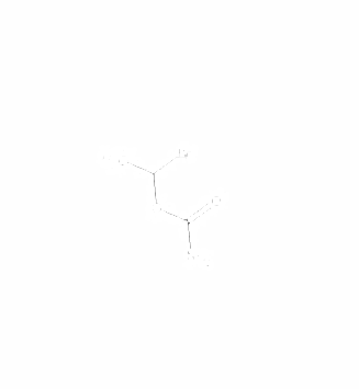 CC(Br)OC(N)=O